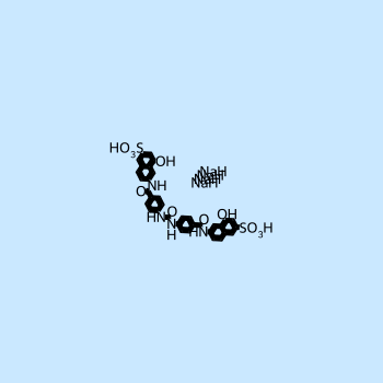 O=C(Nc1ccc(C(=O)Nc2ccc3cc(S(=O)(=O)O)cc(O)c3c2)cc1)Nc1ccc(C(=O)Nc2ccc3cc(S(=O)(=O)O)cc(O)c3c2)cc1.[NaH].[NaH].[NaH].[NaH]